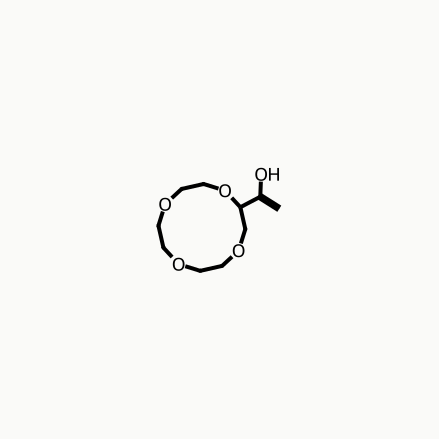 C=C(O)C1COCCOCCOCCO1